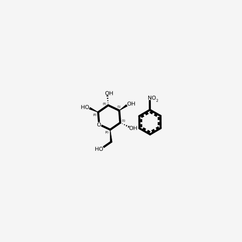 O=[N+]([O-])c1ccccc1.OC[C@H]1O[C@@H](O)[C@H](O)[C@@H](O)[C@@H]1O